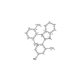 Cc1cc(C#N)ccc1-c1nc2ccccc2n1-c1c(C)cccc1C